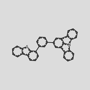 c1cc(-c2cc3c4ccccc4n4c5ccccc5c(c2)c34)cc(-c2cccc3c2sc2ccccc23)c1